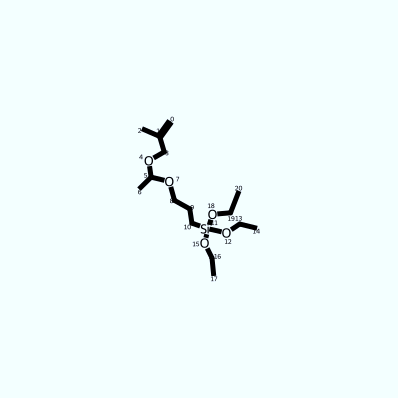 C=C(C)COC(C)OCCC[Si](OCC)(OCC)OCC